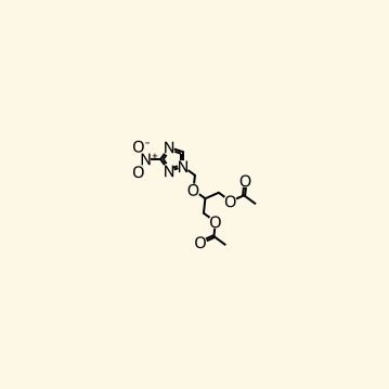 CC(=O)OCC(COC(C)=O)OCn1cnc([N+](=O)[O-])n1